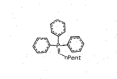 CCCCCC=P(c1ccccc1)(c1ccccc1)c1ccccc1